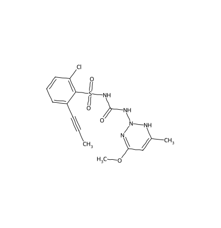 CC#Cc1cccc(Cl)c1S(=O)(=O)NC(=O)NN1N=C(OC)C=C(C)N1